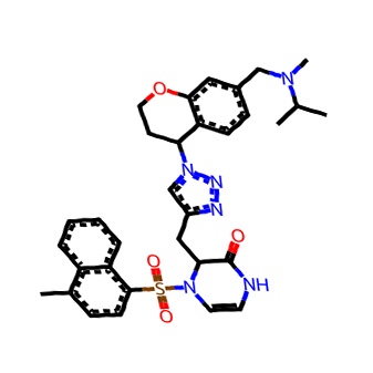 Cc1ccc(S(=O)(=O)N2C=CNC(=O)C2Cc2cn(C3CCOc4cc(CN(C)C(C)C)ccc43)nn2)c2ccccc12